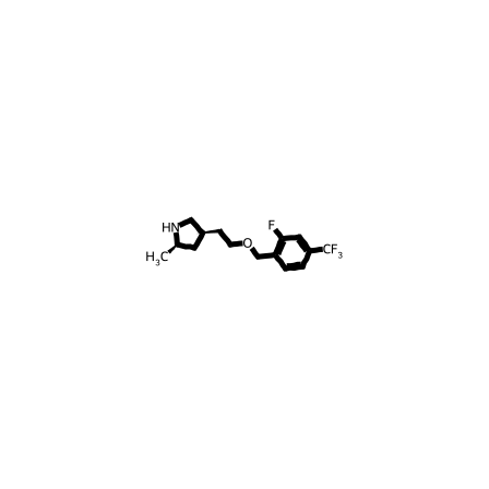 C[C@@H]1C[C@H](CCOCc2ccc(C(F)(F)F)cc2F)CN1